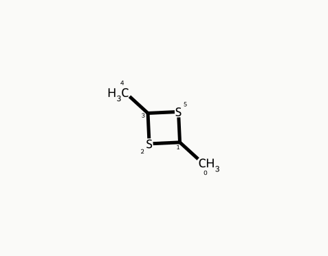 CC1SC(C)S1